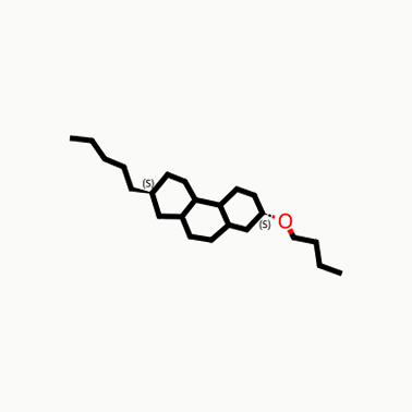 CCCCC[C@H]1CCC2C(CCC3C[C@@H](OCCCC)CCC32)C1